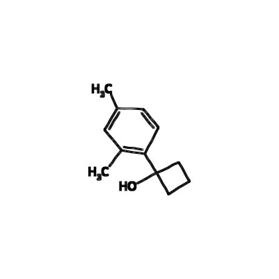 Cc1ccc(C2(O)CCC2)c(C)c1